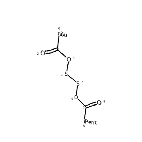 CCCCC(=O)OSSOC(=O)C(C)CCC